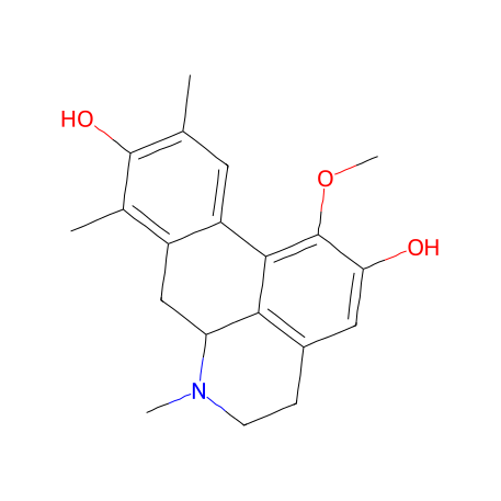 COc1c(O)cc2c3c1-c1cc(C)c(O)c(C)c1CC3N(C)CC2